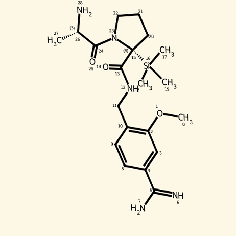 COc1cc(C(=N)N)ccc1CNC(=O)[C@]1([Si](C)(C)C)CCCN1C(=O)[C@H](C)N